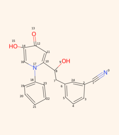 N#Cc1cccc(CC(O)c2cc(=O)c(O)cn2-c2ccccc2)c1